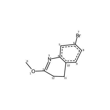 COC1=Nc2cc(Br)ccc2CC1